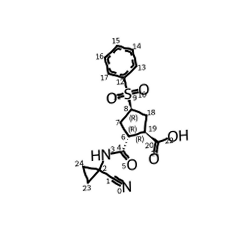 N#CC1(NC(=O)[C@@H]2C[C@@H](S(=O)(=O)c3ccccc3)C[C@H]2C(=O)O)CC1